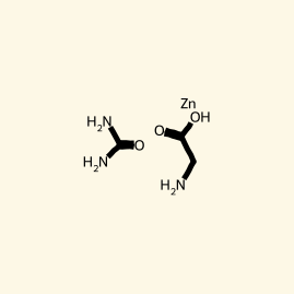 NC(N)=O.NCC(=O)O.[Zn]